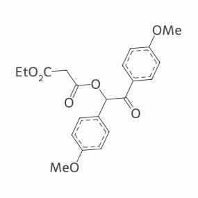 CCOC(=O)CC(=O)OC(C(=O)c1ccc(OC)cc1)c1ccc(OC)cc1